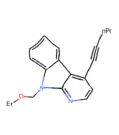 CCCC#Cc1ccnc2c1c1ccccc1n2COCC